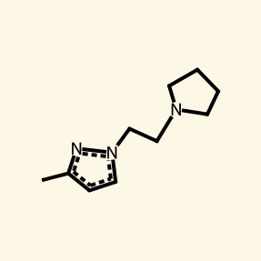 Cc1ccn(CCN2CCCC2)n1